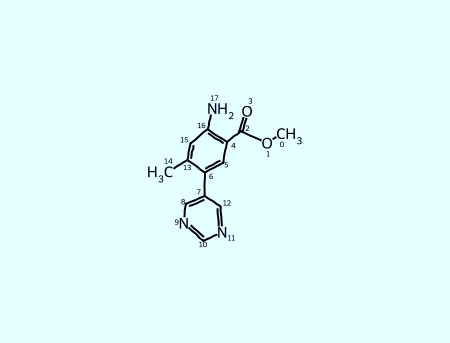 COC(=O)c1cc(-c2cncnc2)c(C)cc1N